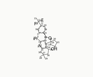 CC(C)c1nc2c(c3c1[C@@H](c1ccc(C(C)(F)F)cc1)OC31CCCC1)C(O)CC(C)(C)C2